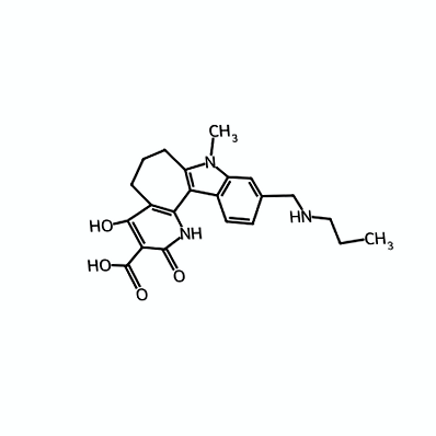 CCCNCc1ccc2c3c(n(C)c2c1)CCCc1c-3[nH]c(=O)c(C(=O)O)c1O